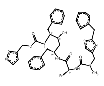 CC(C)[C@H](NC(=O)N(C)Cc1csc(Cc2ccccc2)n1)C(=O)N[C@@H](Cc1ccccc1)C[C@H](O)[C@H](Cc1ccccc1)NC(=O)OCc1ccns1